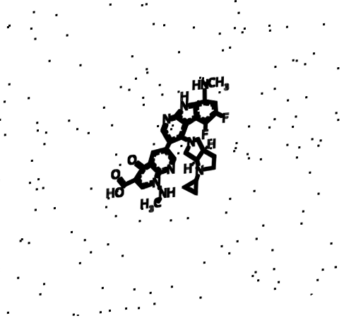 CNc1cc(F)c(F)c2c1[nH]c1ncc(-c3cnc4c(c3)c(=O)c(C(=O)O)cn4NC)c(N3C[C@H]4CCN(C5CC5)[C@H]4C3)c12